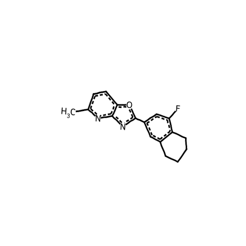 Cc1ccc2oc(-c3cc(F)c4c(c3)CCCC4)nc2n1